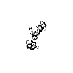 O=c1ccc2ccc(F)c3c2n1CCC3CN1CC[C@H](NCc2cc3c(cn2)OCCO3)[C@H](O)C1